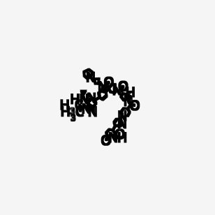 CC(C)n1cnc2cc(-c3ccc4c(c3)N([C@H]3C[C@@H](N5CCCCC5)C3)C(=O)C43CCN(C(=O)[C@@H]4CC5C[C@H]4CN5C(=O)C4CCN(c5ccc(C6CCC(=O)NC6=O)cn5)CC4)CC3)nc(NC3CC3)c21